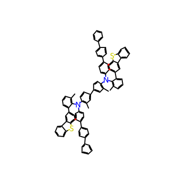 Cc1cc(-c2ccc(N(c3ccc(-c4ccc(-c5ccccc5)cc4)cc3)c3c(C)cccc3-c3ccc4sc5ccccc5c4c3)c(C)c2)ccc1N(c1ccc(-c2ccc(-c3ccccc3)cc2)cc1)c1c(C)cccc1-c1ccc2sc3ccccc3c2c1